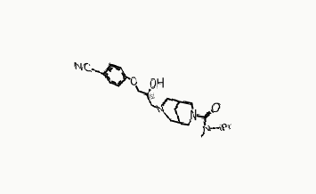 CC(C)N(C)C(=O)N1CC2CC(CN(C[C@H](O)COc3ccc(C#N)cc3)C2)C1